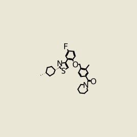 Cc1cc(C(=O)N2CCCCC2)ccc1COc1ccc(F)cc1-c1csc([C@H]2CC[C@@H](C)CC2)n1